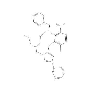 CCOC(Cn1nc(-c2cccnc2)cc1Nc1c(C)ccc([N+](=O)[O-])c1OCc1ccccc1)OCC